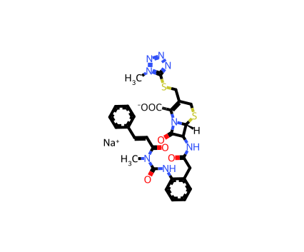 CN(C(=O)/C=C/c1ccccc1)C(=O)Nc1ccccc1CC(=O)NC1C(=O)N2C(C(=O)[O-])=C(CSc3nnnn3C)CS[C@H]12.[Na+]